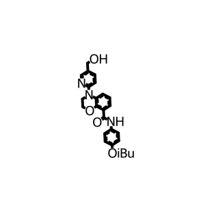 CC(C)COc1ccc(NC(=O)c2cccc3c2OCCN3c2ccc(CO)cn2)cc1